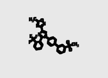 Cc1nc(-c2cn(-c3ccc(-c4cccc(S(C)(=O)=O)c4)cc3)c(-c3ccccc3C(F)(F)F)n2)no1